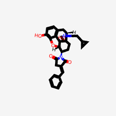 O=C1C/C(=C\c2ccccc2)C(=O)N1[C@@H]1CC[C@@]2(O)[C@H]3Cc4ccc(O)c5c4[C@@]2(CCN3CC2CC2)[C@H]1O5